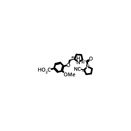 COc1cc(C(=O)O)ccc1OC[C@H]1CC[C@H](C(=O)N2CCC[C@H]2C#N)N1